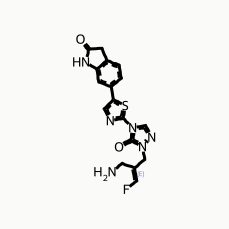 NC/C(=C\F)Cn1ncn(-c2ncc(-c3ccc4c(c3)NC(=O)C4)s2)c1=O